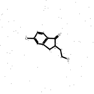 O=C1c2ccc(Cl)cc2CC1CCCl